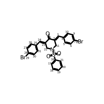 O=C1/C(=C/c2ccc(Br)cc2)CN(S(=O)(=O)c2ccccc2)C/C1=C\c1ccc(Br)cc1